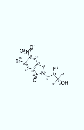 CC(C)(O)C(F)CN1Cc2cc([N+](=O)[O-])c(Br)cc2C1=O